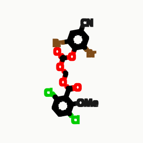 COc1c(Cl)ccc(Cl)c1C(=O)OCOC(=O)Oc1c(Br)cc(C#N)cc1Br